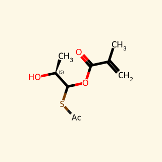 C=C(C)C(=O)OC(SC(C)=O)[C@H](C)O